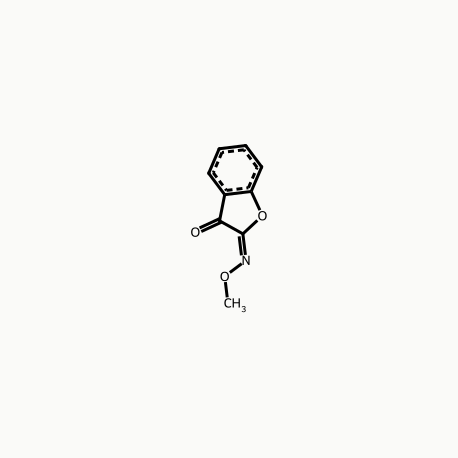 CON=C1Oc2ccccc2C1=O